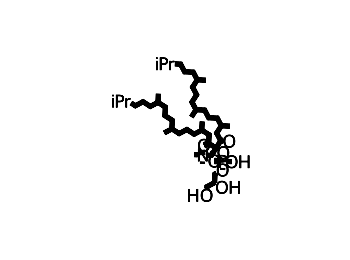 CC(C)CCCC(C)CCCC(C)CCCC(C)CC(=O)C(C[N+](C)(C)C)(OP(=O)(O)OCC(O)CO)C(=O)CC(C)CCCC(C)CCCC(C)CCCC(C)C